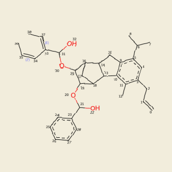 C=CCc1cc(C(C)C)c2c(c1C)C1C(C2)C2CC1C(OC(O)c1ccccc1)C2OC(O)C(/C=C\C)=C/C